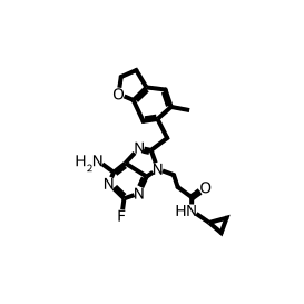 Cc1cc2c(cc1Cc1nc3c(N)nc(F)nc3n1CCC(=O)NC1CC1)OCC2